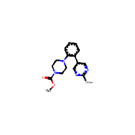 COc1ncc(-c2ccccc2N2CCN(C(=O)OC(C)(C)C)CC2)cn1